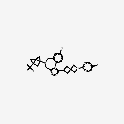 Fc1cnc(N2CC3(CC(c4nnc5n4-c4ccc(Cl)cc4CN(C46CC7(C(F)(F)F)CC47C6)C5)C3)C2)nc1